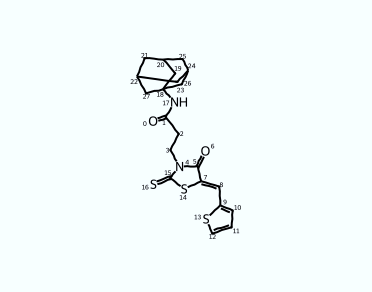 O=C(CCN1C(=O)/C(=C/c2cccs2)SC1=S)NC12CC3CC(CC(C3)C1)C2